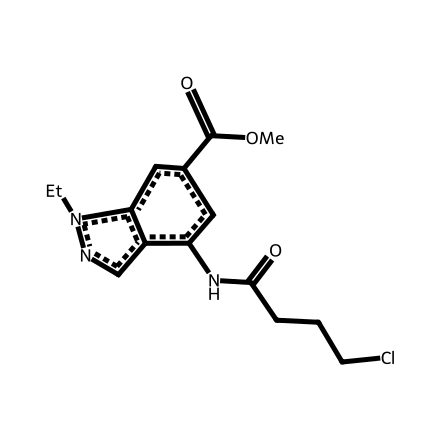 CCn1ncc2c(NC(=O)CCCCl)cc(C(=O)OC)cc21